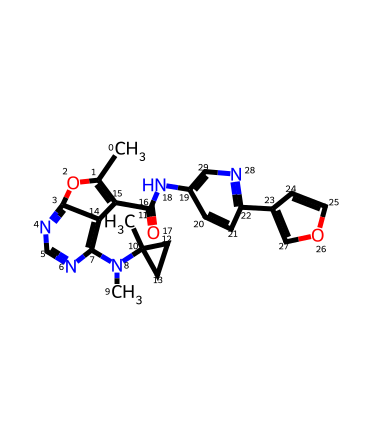 Cc1oc2ncnc(N(C)C3(C)CC3)c2c1C(=O)Nc1ccc(-c2ccoc2)nc1